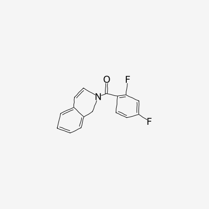 O=C(c1ccc(F)cc1F)N1C=Cc2ccccc2C1